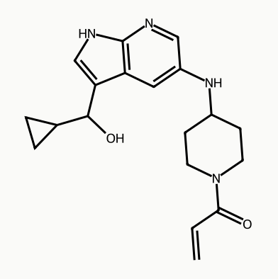 C=CC(=O)N1CCC(Nc2cnc3[nH]cc(C(O)C4CC4)c3c2)CC1